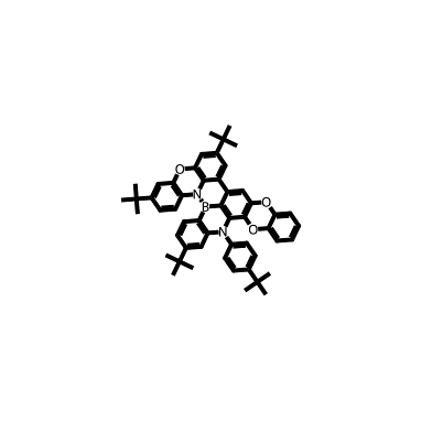 CC(C)(C)c1ccc(N2c3cc(C(C)(C)C)ccc3B3c4c(cc5c(c42)Oc2ccccc2O5)-c2cc(C(C)(C)C)cc4c2N3c2ccc(C(C)(C)C)cc2O4)cc1